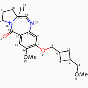 COCC1CC(COc2cc3c(cc2OC)C(=O)N2CCC[C@H]2C=N3)C1